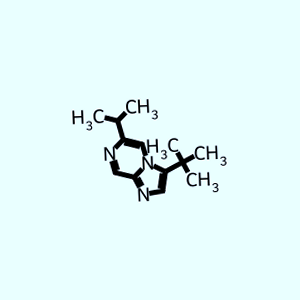 CC(C)c1cn2c(C(C)(C)C)cnc2cn1